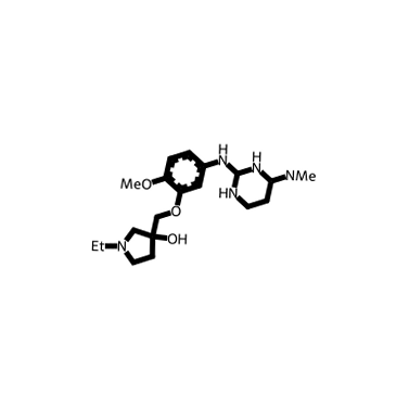 CCN1CCC(O)(COc2cc(NC3NCCC(NC)N3)ccc2OC)C1